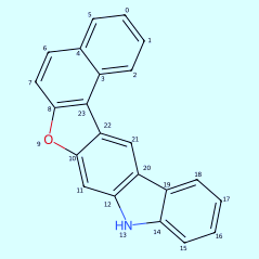 c1ccc2c(c1)ccc1oc3cc4[nH]c5ccccc5c4cc3c12